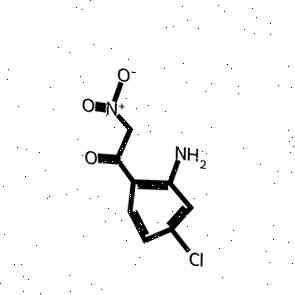 Nc1cc(Cl)ccc1C(=O)C[N+](=O)[O-]